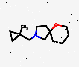 CC1(CN2CCC3(CCCCO3)C2)CC1